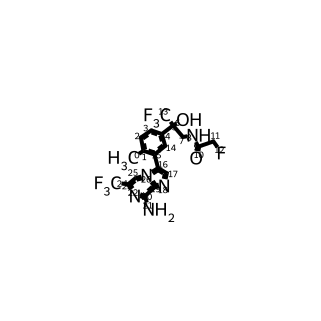 Cc1ccc(C(O)(CNC(=O)CF)C(F)(F)F)cc1-c1cnc2c(N)nc(C(F)(F)F)cn12